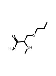 CCCSC[C@@H](NC)C(N)=O